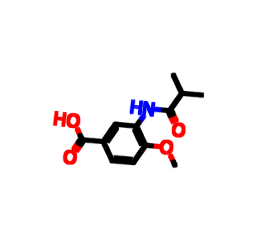 COc1ccc(C(=O)O)cc1NC(=O)C(C)C